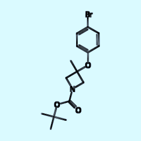 CC(C)(C)OC(=O)N1CC(C)(Oc2ccc(Br)cc2)C1